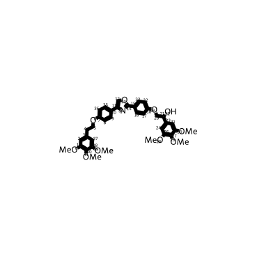 COc1cc(CCOc2ccc(-c3coc(-c4ccc(OCC(O)c5cc(OC)c(OC)c(OC)c5)cc4)n3)cc2)cc(OC)c1OC